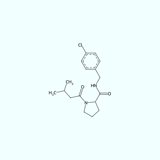 CC(C)CC(=O)N1CCCC1C(=O)NCc1ccc(Cl)cc1